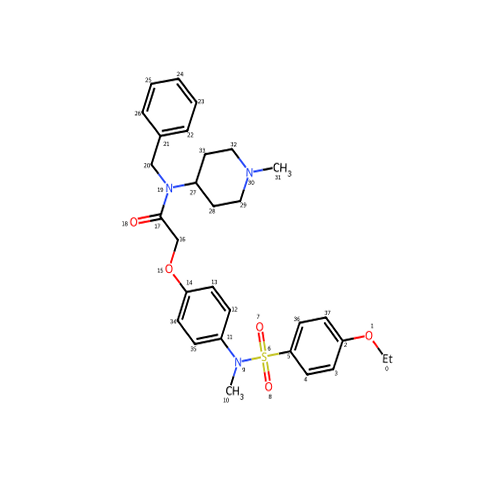 CCOc1ccc(S(=O)(=O)N(C)c2ccc(OCC(=O)N(Cc3ccccc3)C3CCN(C)CC3)cc2)cc1